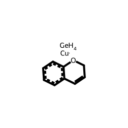 C1=Cc2ccccc2OC1.[Cu].[GeH4]